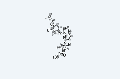 CC(C)(C)OC(=O)N1C[C@@H]2C[C@H]1CN2c1ccc2ncnc(Nc3ccc(OCC4CC4)c(Cl)c3F)c2n1